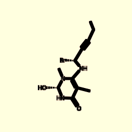 CCC#C[C@@H](Br)NC1=C(C)C(=O)N[C@H](O)N1C